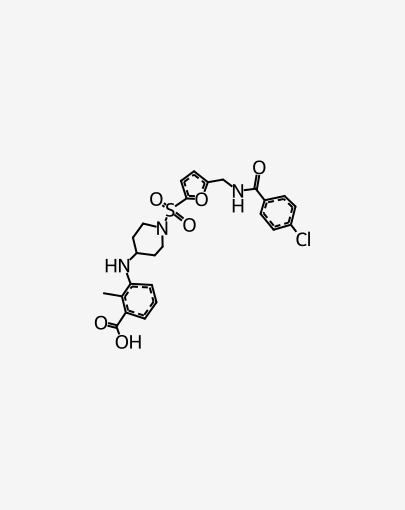 Cc1c(NC2CCN(S(=O)(=O)c3ccc(CNC(=O)c4ccc(Cl)cc4)o3)CC2)cccc1C(=O)O